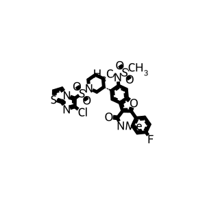 CNC(=O)c1c(-c2ccc(F)cc2)oc2cc(N(C)S(C)(=O)=O)c([C@H]3CCCN(S(=O)(=O)c4c(Cl)nc5sccn45)C3)cc12